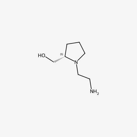 NCCN1CCC[C@H]1CO